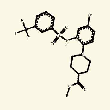 COC(=O)C1CCN(c2ccc(Br)cc2NS(=O)(=O)c2cccc(C(F)(F)F)c2)CC1